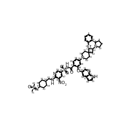 CCc1ccccc1[C@H]1CCCN1C1CC2(CCN(c3ccc(C(=O)NS(=O)(=O)c4cnc(NCC5CCC(N=S(C)(C)=O)CC5)c([N+](=O)[O-])c4)c(Oc4cnc5[nH]ccc5c4)c3)CC2)C1